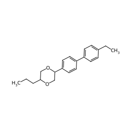 CCCC1COC(c2ccc(-c3ccc(CC)cc3)cc2)CO1